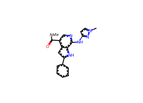 CNC(=O)c1cnc(Nc2ccn(C)n2)c2[nH]c(-c3ccccc3)cc12